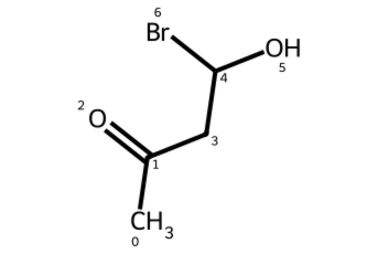 CC(=O)CC(O)Br